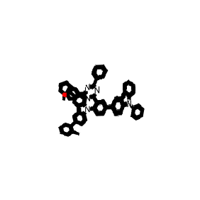 Cc1ccccc1-c1ccc2c(c1)c1cc(-c3ccccc3C)ccc1n2-c1ccc(-c2ccc3c(c2)c2ccccc2n3-c2ccccc2)cc1-c1nc(-c2ccccc2)nc(-c2ccccc2)n1